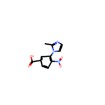 Cc1nccn1-c1cc(C(=O)O)ccc1[N+](=O)[O-]